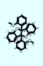 COc1ccccc1C12Oc3ccccc3C1(c1ccccc1OC)Oc1ccccc12